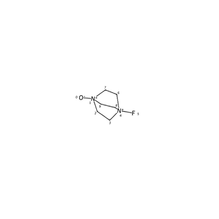 [O-][N+]12CC[N+](F)(CC1)CC2